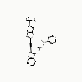 CC(OC(=O)Nc1c(C#Cc2cc3sc(C4(C(=O)O)CC4)cc3s2)oc2cnccc12)c1ccccc1